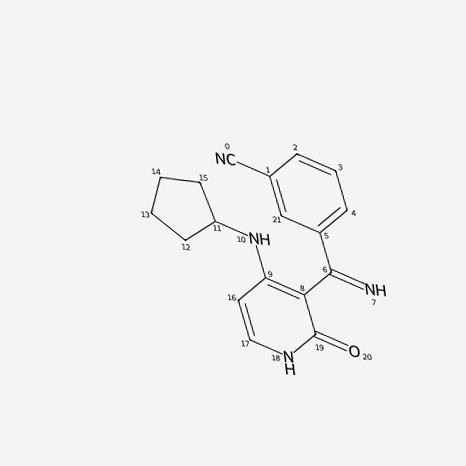 N#Cc1cccc(C(=N)c2c(NC3CCCC3)cc[nH]c2=O)c1